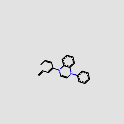 C=C/C=C(\C=C/C)N1C=CN(c2ccccc2)c2ccccc21